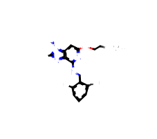 CCc1cccc(C)c1CNc1nc(OCCOC)cc2c1nc(C)n2C